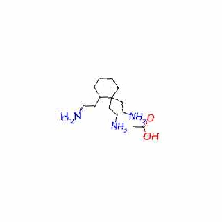 CC(=O)O.NCCC1CCCCC1(CCN)CCN